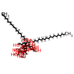 CCCCCCCCCCCCCCCCCC(=O)OCC(OC(=O)CCCCCCCCCCCCCCCCC)C(CC(O)CO)C(CC(O)CO)(CC(O)CO)C(CC(O)CO)(OCC(O)CO)C(CC(O)CO)(CC(O)CO)OCC(O)CO